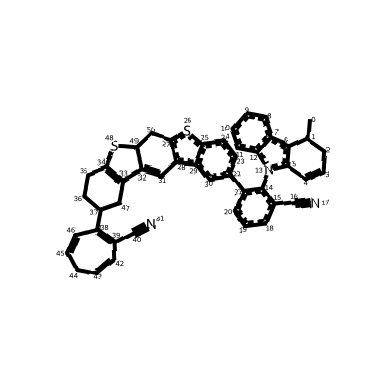 CC1CC=Cc2c1c1ccccc1n2-c1c(C#N)cccc1-c1ccc2sc3c(c2c1)C=C1C2=C(CCC(C4=C(C#N)C=CCC=C4)C2)SC1C3